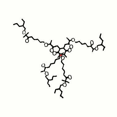 CCCC(CC)COC(C)C(=O)CCCCCOC(C)C(=O)CC(C(=O)C(C)OCCCCCC(=O)C(C)OCC(CC)CCC)C(CC(=O)C(C)OCCCCCC(=O)C(C)(C)OCC(CC)CCC)C(=O)C(C)(C)OCCCCCC(=O)C(C)(C)OCC(CC)CCC